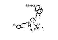 COc1ccc2ncc(F)c(/C=C/[C@@H]3CC[C@@H](NC/C=C/c4cc(F)ccc4F)[C@@H](CC(=O)N(C)C)O3)c2c1